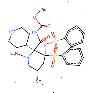 CC(C)(C)OC(=O)NC(=O)[C@]1(C2CCNCC2)N([N+](=O)[O-])C[C@@H]([N+](=O)[O-])CC1(OS(=O)(=O)c1ccccc1)S(=O)(=O)c1ccccc1